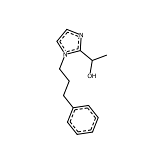 CC(O)c1nccn1CCCc1ccccc1